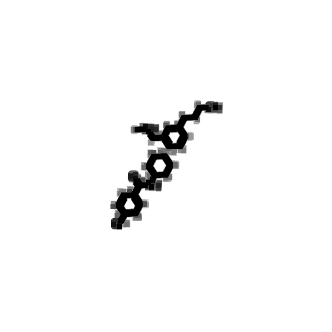 CNCc1cc(CCCO)ccc1[C@H]1CC[C@H](NC(=O)c2ccc(Cl)cc2)CC1